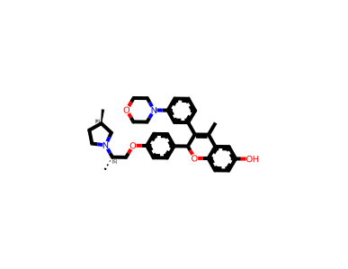 CC1=C(c2cccc(N3CCOCC3)c2)C(c2ccc(OC[C@H](C)N3CC[C@@H](C)C3)cc2)Oc2ccc(O)cc21